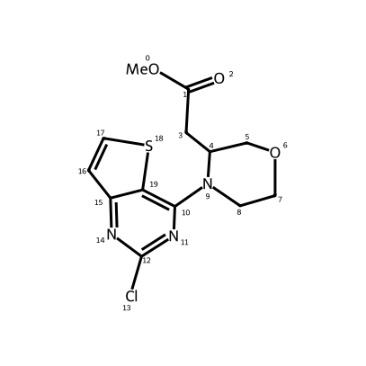 COC(=O)CC1COCCN1c1nc(Cl)nc2ccsc12